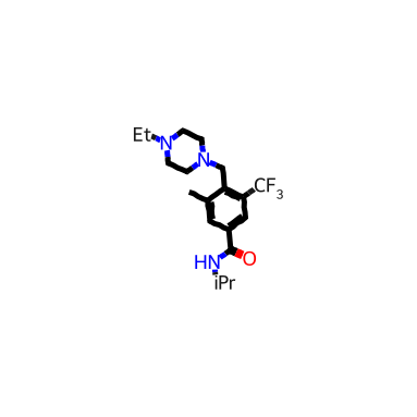 CCN1CCN(Cc2c(C)cc(C(=O)NC(C)C)cc2C(F)(F)F)CC1